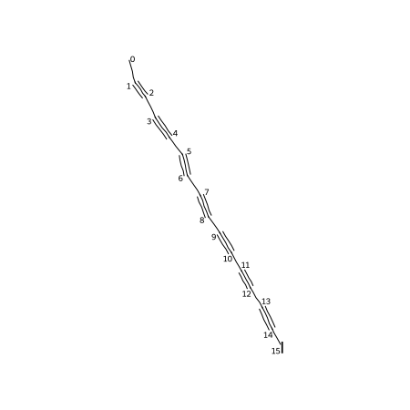 CC#CC#CC#CC#CC#CC#CC#CI